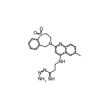 Cc1ccc2nc(N3CCS(=O)(=O)c4ccccc4C3)cc(NCCC(=N)/N=N\N)c2c1